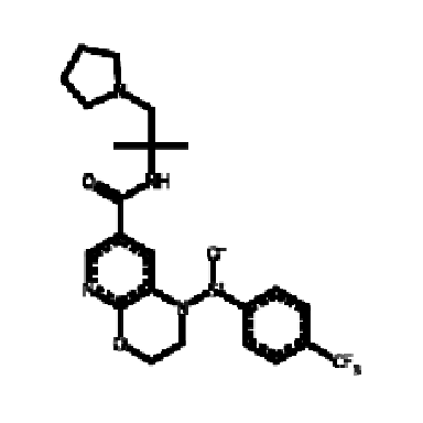 CC(C)(CN1CCCC1)NC(=O)c1cnc2c(c1)N([S+]([O-])c1ccc(C(F)(F)F)cc1)CCO2